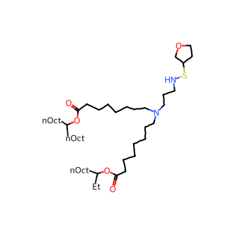 CCCCCCCCC(CC)OC(=O)CCCCCCCN(CCCCCCCC(=O)OC(CCCCCCCC)CCCCCCCC)CCCNSC1CCOC1